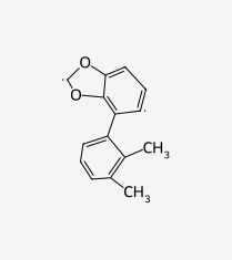 Cc1cccc(-c2[c]ccc3c2O[CH]O3)c1C